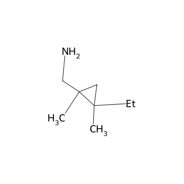 CCC1(C)CC1(C)CN